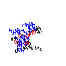 CC(=O)CC[C@@H](NC(=O)CC[C@H](CCCNC(=N)N)NC(=O)CC[C@H](Cc1c[nH]c2ccccc12)NC(=O)CC[C@H](CCCNC(=N)N)NC(=O)CC[C@@H](NC(=O)CC[C@H](Cc1c[nH]c2ccccc12)NC(=O)CC[C@H](CCCCN)NC(=O)CC[C@@H](NC(C)=O)C(C)C)C(C)C)C(C)C